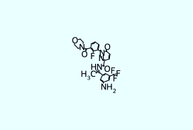 C[C@@H](NC(=O)c1ccc(=O)n(-c2cccc(C(=O)N3CCOCC3)c2F)n1)c1cc(N)cc(C(F)(F)F)c1